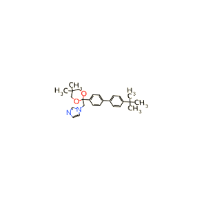 CC1(C)COC(Cn2ccnc2)(c2ccc(-c3ccc(C(C)(C)C)cc3)cc2)OC1